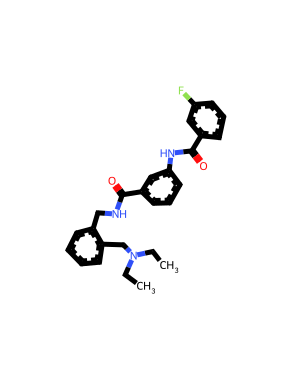 CCN(CC)Cc1ccccc1CNC(=O)c1cccc(NC(=O)c2cccc(F)c2)c1